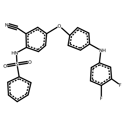 N#Cc1cc(Oc2ccc(Nc3ccc(F)c(F)c3)cc2)ccc1NS(=O)(=O)c1ccccc1